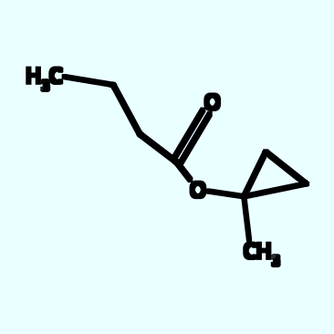 CCCC(=O)OC1(C)CC1